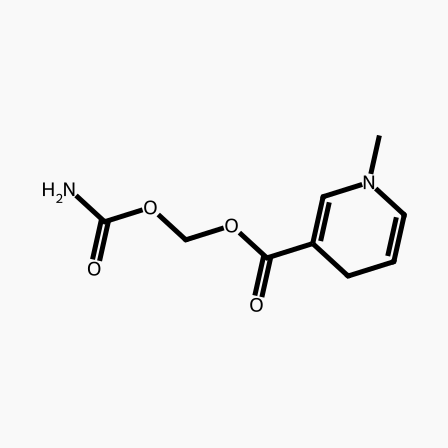 CN1C=CCC(C(=O)OCOC(N)=O)=C1